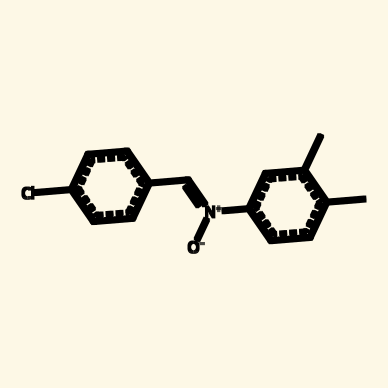 Cc1ccc([N+]([O-])=Cc2ccc(Cl)cc2)cc1C